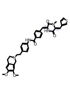 COc1cc2c(cc1OC)CN(CCc1ccc(NC(=O)c3ccc(/C=c4\[nH]c(=O)/c(=C/c5ccsc5)n(C)c4=O)cc3)cc1)CC2